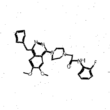 COc1cc2c(Cc3ccccc3)nnc(N3CCN(CC(=O)Nc4ccccc4F)CC3)c2cc1OC